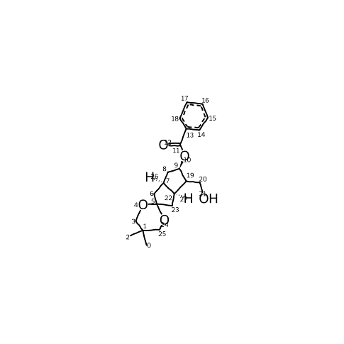 CC1(C)COC2(C[C@H]3C[C@@H](OC(=O)c4ccccc4)C(CO)[C@H]3C2)OC1